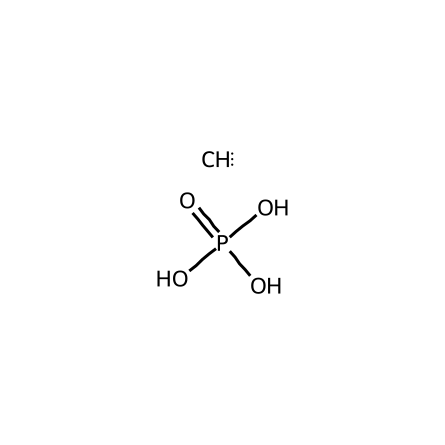 O=P(O)(O)O.[CH]